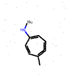 CC1=C=CC=C(NC(C)(C)C)C=C1